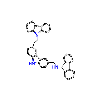 c1ccc2c(c1)-c1ccccc1C2NCc1ccc2[nH]c3ccc(CCn4c5ccccc5c5ccccc54)cc3c2c1